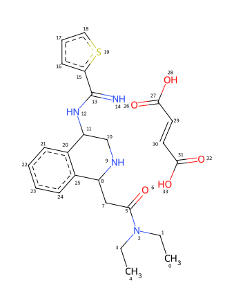 CCN(CC)C(=O)CC1NCC(NC(=N)c2cccs2)c2ccccc21.O=C(O)/C=C/C(=O)O